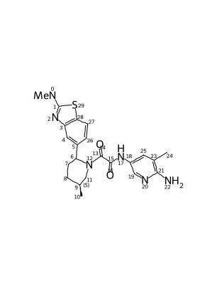 CNc1nc2cc(C3CC[C@H](C)CN3C(=O)C(=O)Nc3cnc(N)c(C)c3)ccc2s1